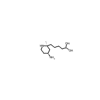 C[C@]1(CCCCB(O)O)C[C@@H](N)CCN1